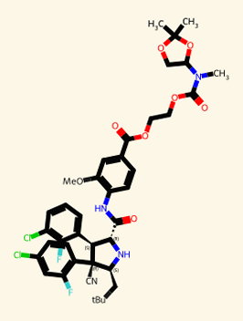 COc1cc(C(=O)OCCOC(=O)N(C)C2COC(C)(C)O2)ccc1NC(=O)[C@@H]1N[C@@H](CC(C)(C)C)[C@](C#N)(c2ccc(Cl)cc2F)[C@H]1c1cccc(Cl)c1F